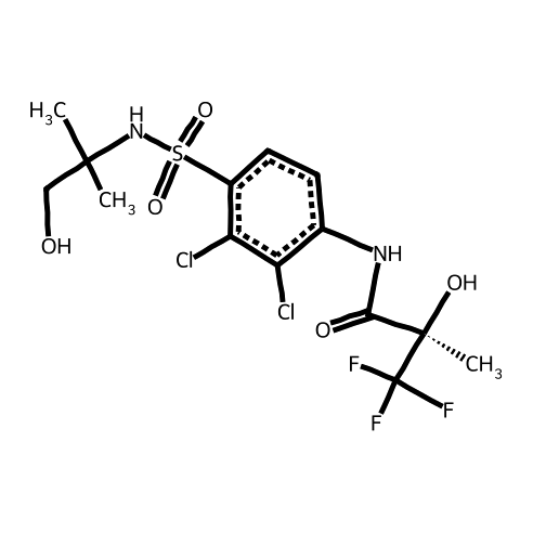 CC(C)(CO)NS(=O)(=O)c1ccc(NC(=O)[C@@](C)(O)C(F)(F)F)c(Cl)c1Cl